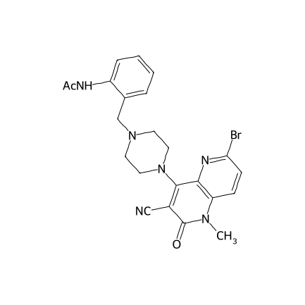 CC(=O)Nc1ccccc1CN1CCN(c2c(C#N)c(=O)n(C)c3ccc(Br)nc23)CC1